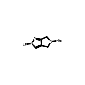 CCn1cc2c(n1)CN(C(C)(C)C)C2